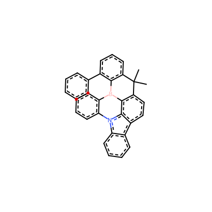 CC1(C)c2cccc(-c3ccccc3)c2B2c3ccccc3-n3c4ccccc4c4ccc1c2c43